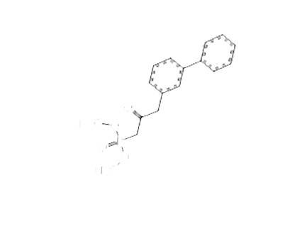 COP(=O)(CC(=O)Cc1cccc(-c2ccccc2)c1)OC